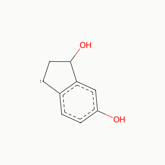 Oc1ccc2c(c1)C(O)C[C]2